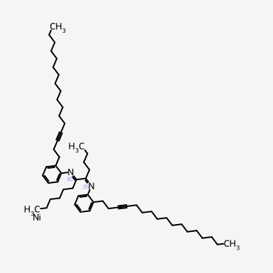 CCCCCCCCCCCCCC#CCCc1ccccc1/N=C(CCCC)\C(CCCCCC)=N\c1ccccc1CCC#CCCCCCCCCCCCCC.[Ni]